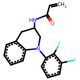 C=CC(=O)NC1Cc2ccccc2N(c2cccc(F)c2F)C1